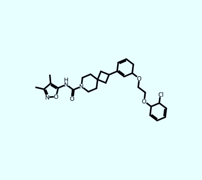 Cc1noc(NC(=O)N2CCC3(CC2)CC(C2=CC(OCCOC4C=CC=CC4Cl)CC=C2)C3)c1C